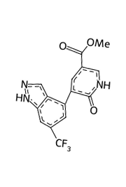 COC(=O)c1c[nH]c(=O)c(-c2cc(C(F)(F)F)cc3[nH]ncc23)c1